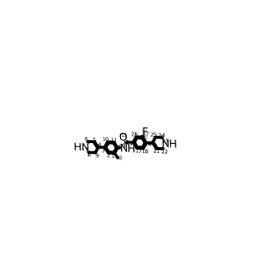 Cc1cc(C2=CCNCC2)ccc1NC(=O)c1ccc(C2=CCNCC2)c(F)c1